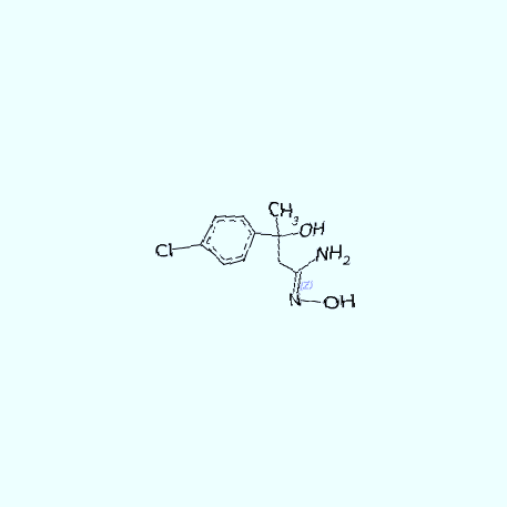 CC(O)(C/C(N)=N/O)c1ccc(Cl)cc1